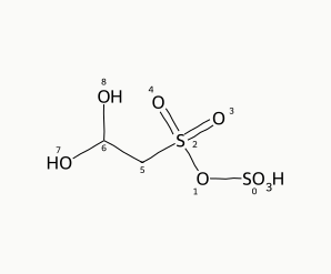 O=S(=O)(O)OS(=O)(=O)CC(O)O